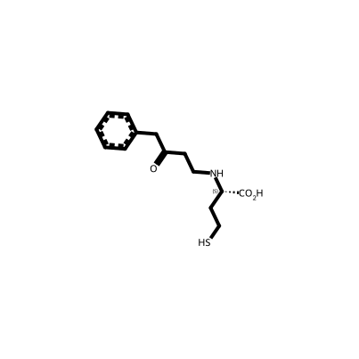 O=C(CCN[C@@H](CCS)C(=O)O)Cc1ccccc1